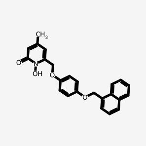 Cc1cc(COc2ccc(OCc3cccc4ccccc34)cc2)n(O)c(=O)c1